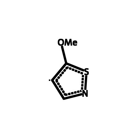 COc1[c]cns1